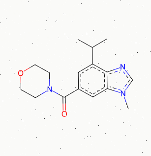 CC(C)c1cc(C(=O)N2CCOCC2)cc2c1ncn2C